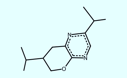 CC(C)c1cnc2c(n1)CC(C(C)C)CO2